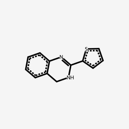 c1csc(C2=Nc3ccccc3CN2)c1